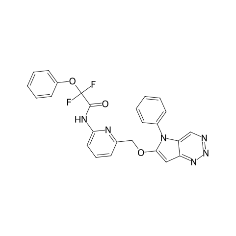 O=C(Nc1cccc(COc2cc3nnncc3n2-c2ccccc2)n1)C(F)(F)Oc1ccccc1